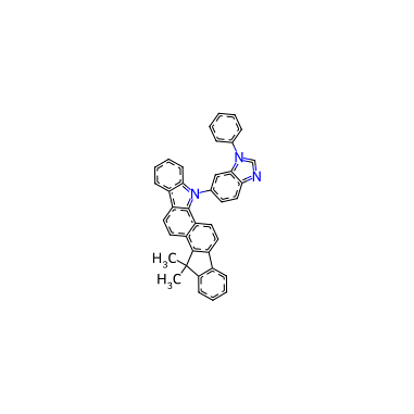 CC1(C)c2ccccc2-c2ccc3c(ccc4c5ccccc5n(-c5ccc6ncn(-c7ccccc7)c6c5)c34)c21